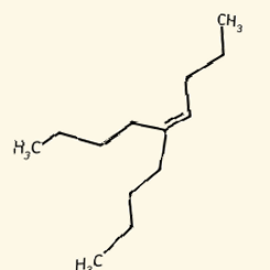 CCCC=C(CCCC)CCCC